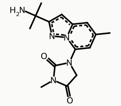 Cc1cc(N2CC(=O)N(C)C2=O)n2nc(C(C)(C)N)cc2c1